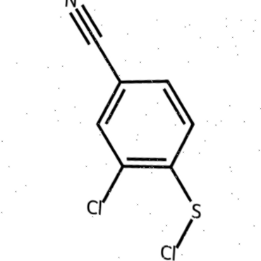 N#Cc1ccc(SCl)c(Cl)c1